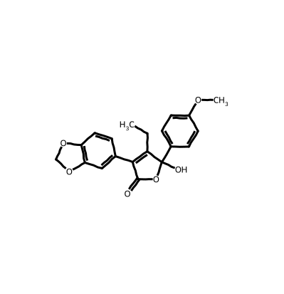 CCC1=C(c2ccc3c(c2)OCO3)C(=O)OC1(O)c1ccc(OC)cc1